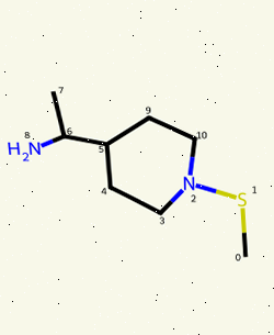 CSN1CCC(C(C)N)CC1